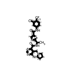 CC(NC(=O)c1ncnc(N)c1CN1CCCC1)c1ncc(C(=O)Nc2ccc(C(F)(F)F)c(Cl)c2)s1